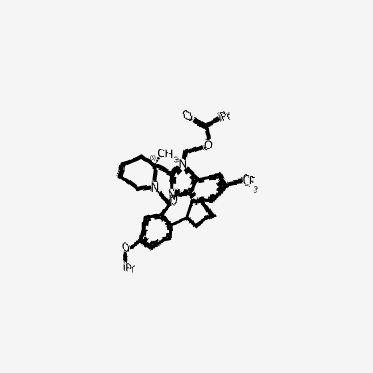 CC(C)Oc1ccc(C2CCCC2)c(C(=O)N2CCCC[C@@]2(C)c2nc3ncc(C(F)(F)F)cc3n2COC(=O)C(C)C)c1